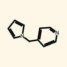 [CH](c1ccncc1)n1cccc1